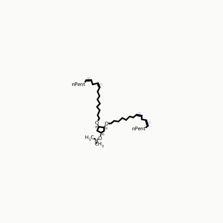 CCCCC/C=C\C/C=C\CCCCCCCCO[C@@H]1C[C@H](ON(C)C)C[C@@H]1OCCCCCCC/C=C\C/C=C\CCCCC